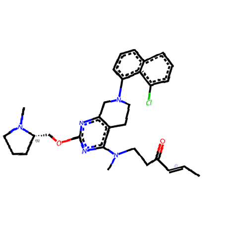 C/C=C/C(=O)CCN(C)c1nc(OC[C@@H]2CCCN2C)nc2c1CCN(c1cccc3cccc(Cl)c13)C2